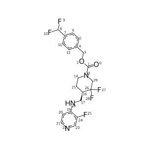 O=C(OCc1ccc(C(F)F)cc1)N1CC[C@H](CNc2ccncc2F)C(F)(F)C1